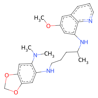 COc1cc(NC(C)CCCNc2cc3c(cc2N(C)C)OCO3)c2ncccc2c1